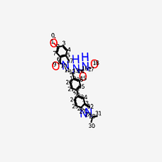 COc1ccc2c(c1)C(=O)N(C[C@H](NC(=O)NC=O)c1ccc(-c3ccc4nn(C(C)C)cc4c3)cc1)C2